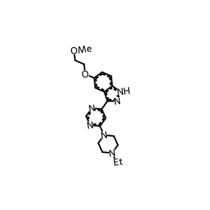 CCN1CCN(c2cc(-c3n[nH]c4ccc(OCCOC)cc34)ncn2)CC1